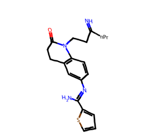 CCCC(=N)CCN1C(=O)CCc2cc(N=C(N)c3cccs3)ccc21